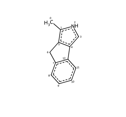 Cc1[nH]cc2c1Cc1ccccc1-2